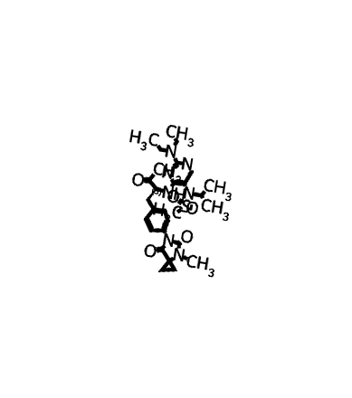 CCN(CC)c1ncc(N(C(C)C)S(C)(=O)=O)c(N[C@@H](Cc2ccc(N3C(=O)N(C)C4(CC4)C3=O)cc2)C(C)=O)n1